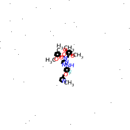 COc1ccc(OC)c(CN(C(=O)Oc2cc(C)ccc2OC)c2ccnc(Nc3ccc(OCC4CCCN(C)C4)c(F)c3)n2)c1